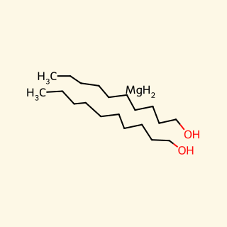 CCCCCCCCCCO.CCCCCCCCCCO.[MgH2]